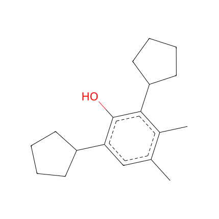 Cc1cc(C2CCCC2)c(O)c(C2CCCC2)c1C